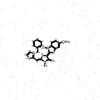 CCn1c(=O)/c(=C2\Sc3cc(OC)ccc3N2C)s/c1=C\c1scc[n+]1Cc1ccccc1